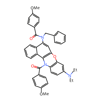 CCN(CC)c1ccc2c(c1)Oc1cc(N(Cc3ccccc3)C(=O)c3ccc(OC)cc3)c3ccccc3c1N2C(=O)c1ccc(OC)cc1